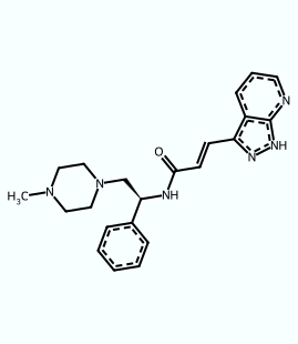 CN1CCN(C[C@@H](NC(=O)C=Cc2n[nH]c3ncccc23)c2ccccc2)CC1